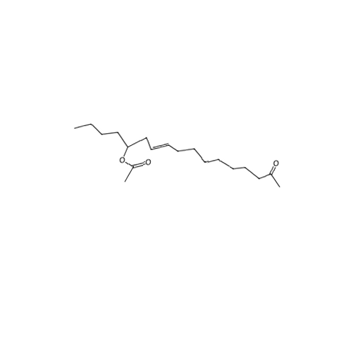 CCCCC(CC=CCCCCCCCC(C)=O)OC(C)=O